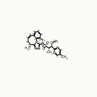 Cc1cnc([C@H](OC(C)C)[C@H](C)S(=O)(=O)Nc2nnc3n2-c2c(F)cccc2/C=C\C[C@H]3C)nc1